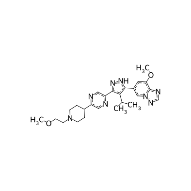 COCCN1CCC(c2cnc(-c3n[nH]c(-c4cc(OC)c5ncnn5c4)c3C(C)C)cn2)CC1